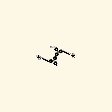 CCC1(COCCCCCCc2ccc(N(c3ccc(C)cc3)c3ccc(-c4ccc(N(c5ccc(CCCCCCOCC6(CC)COC6)cc5)c5ccc(OC)cc5)cc4)cc3)cc2)COC1